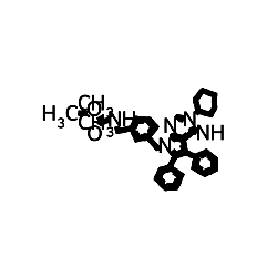 CC(C)(C)OC(=O)NCc1cccc(Cn2c(-c3ccccc3)c(-c3ccccc3)c3c(=N)n(C4CCCCC4)cnc32)c1